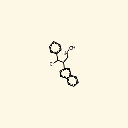 CNCC(c1ccc2ccccc2c1)C(Cl)c1ccccc1